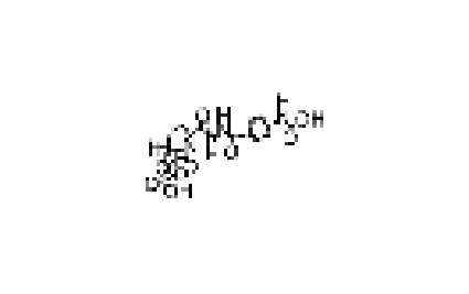 O=C(O)Nc1ccc(C(=O)NNC(=O)[C@@H]2CC[C@@H]3CN2C(=O)N3OS(=O)(=O)O)cc1